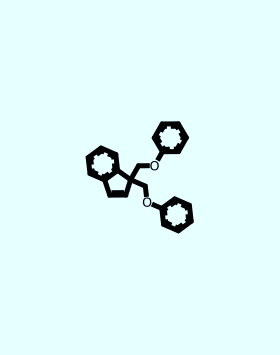 C1=CC(COc2ccccc2)(COc2ccccc2)c2ccccc21